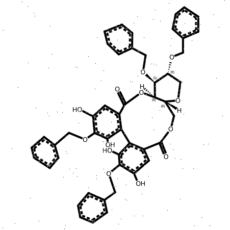 O=C1OC[C@H]2O[CH][C@@H](OCc3ccccc3)[C@H](OCc3ccccc3)[C@@H]2OC(=O)c2cc(O)c(OCc3ccccc3)c(O)c2-c2c1cc(O)c(OCc1ccccc1)c2O